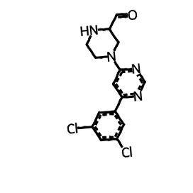 O=CC1CN(c2cc(-c3cc(Cl)cc(Cl)c3)ncn2)CCN1